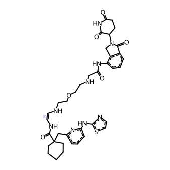 O=C1CCC(N2Cc3c(NC(=O)CNCCOCCN/C=C\NC(=O)C4(Cc5cccc(Nc6nccs6)n5)CCCCC4)cccc3C2=O)C(=O)N1